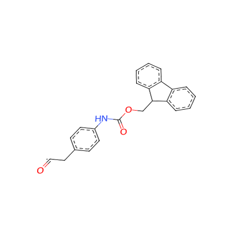 O=[C]Cc1ccc(NC(=O)OCC2c3ccccc3-c3ccccc32)cc1